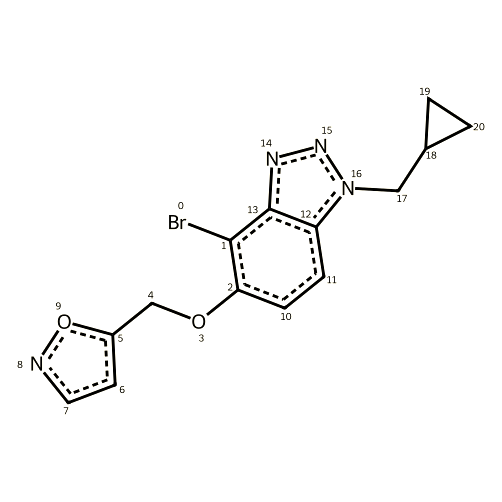 Brc1c(OCc2ccno2)ccc2c1nnn2CC1CC1